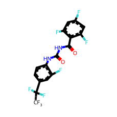 O=C(NC(=O)c1c(F)cc(F)cc1F)Nc1ccc(C(F)(F)C(F)(F)F)cc1F